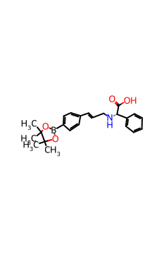 CC1(C)OB(c2ccc(/C=C/CN[C@H](C(=O)O)c3ccccc3)cc2)OC1(C)C